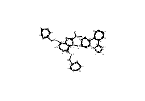 CC(C)c1nc2c(OCc3ccccc3)nnc(OCc3ccccc3)c2n1Cc1ccc(-c2ccccc2-c2nnn[nH]2)cc1